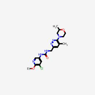 CCOc1ncc(NC(=O)NCc2cc(C)c(N3CCOC(C)C3)nn2)cc1Cl